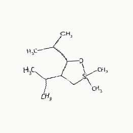 CC(C)C1C[Si](C)(C)OC1C(C)C